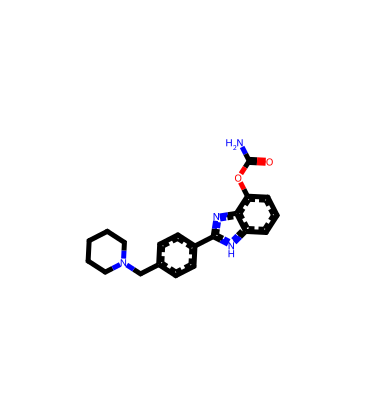 NC(=O)Oc1cccc2[nH]c(-c3ccc(CN4CCCCC4)cc3)nc12